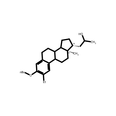 CCCCOc1cc2c(cc1CC)C1CC[C@@]3(C)C(CC[C@@H]3CC(C)O)C1CC2